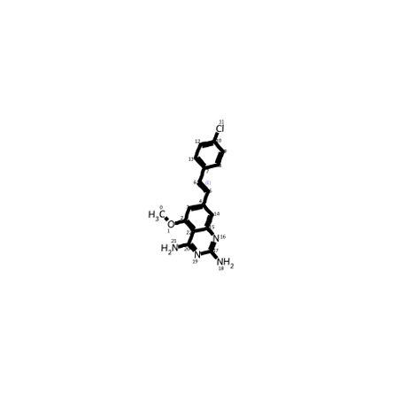 COc1cc(/C=C/c2ccc(Cl)cc2)cc2nc(N)nc(N)c12